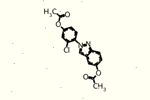 CC(=O)Oc1ccc(-n2cc3cc(OC(C)=O)ccc3n2)c(Cl)c1